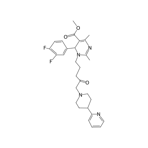 COC(=O)C1=C(C)N=C(C)N(CCCC(=O)CN2CCC(c3ccccn3)CC2)C1c1ccc(F)c(F)c1